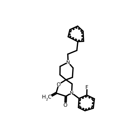 C=C1OC2(CCN(CCc3ccccc3)CC2)CN(c2ccccc2F)C1=O